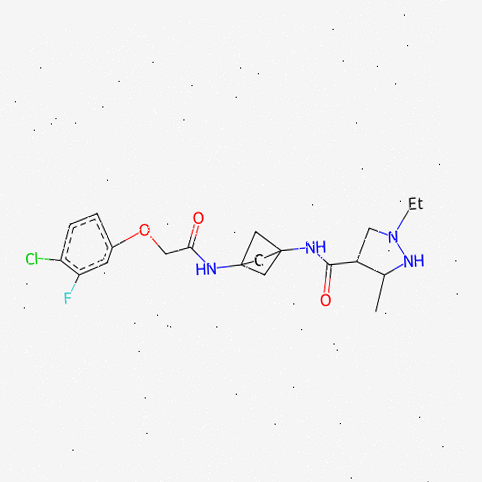 CCN1CC(C(=O)NC23CC(NC(=O)COc4ccc(Cl)c(F)c4)(C2)C3)C(C)N1